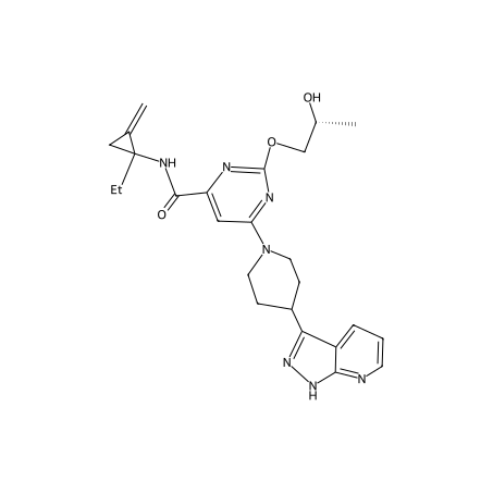 C=C1CC1(CC)NC(=O)c1cc(N2CCC(c3n[nH]c4ncccc34)CC2)nc(OC[C@@H](C)O)n1